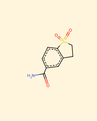 NC(=O)c1ccc2c(c1)CCS2(=O)=O